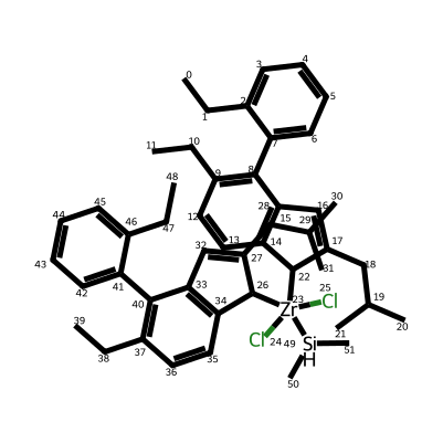 CCc1ccccc1-c1c(CC)ccc2c1C=C(CC(C)C)[CH]2[Zr]([Cl])([Cl])([CH]1C(CC(C)C)=Cc2c1ccc(CC)c2-c1ccccc1CC)[SiH](C)C